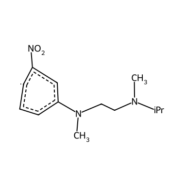 CC(C)N(C)CCN(C)c1cc[c]c([N+](=O)[O-])c1